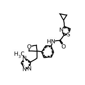 Cn1cnnc1CC1(c2cccc(NC(=O)c3nc(C4CC4)cs3)c2)COC1